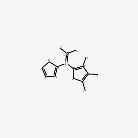 CC1=C(C)C(C)=[C]([Zr]([C]2=CC=CC2)=[Si](C)C)C1